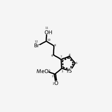 COC(=O)c1sccc1CCC(O)Br